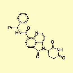 CC(C)C(NC(=O)c1ccc2c3c(ccnc13)N(C1CCC(=O)NC1=O)C2=O)c1ccccc1